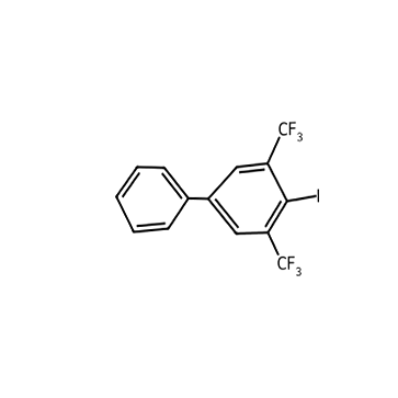 FC(F)(F)c1cc(-c2ccccc2)cc(C(F)(F)F)c1I